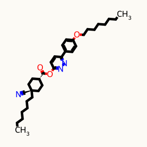 CCCCCCCCOc1ccc(-c2ccc(OC(=O)[C@H]3CC[C@@](C#N)(CCCCCCC)CC3)nn2)cc1